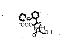 C[C@@H](O)[C@H]1C(=O)N2C(C(=O)[O-])=C(c3ccccc3C[n+]3ccccc3)S[C@H]12